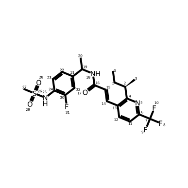 CC[C@@H](C)c1nc(C(F)(F)F)ccc1/C=C/C(=O)NC(C)c1ccc(NS(C)(=O)=O)c(F)c1